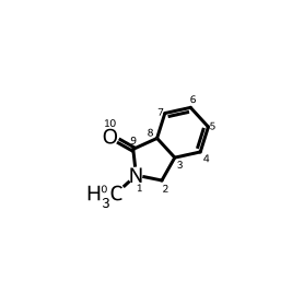 CN1CC2C=CC=CC2C1=O